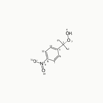 CC(C)(OO)c1ccc([N+](=O)[O-])cc1